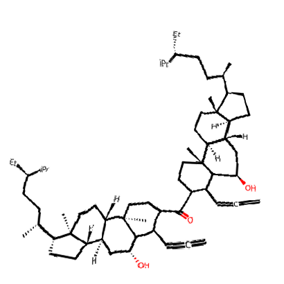 C=C=CC1C(C(=O)C2CC[C@@]3(C)C(C2C=C=C)[C@H](O)C[C@H]2[C@@H]4CC[C@H]([C@H](C)CC[C@@H](CC)C(C)C)[C@@]4(C)CC[C@@H]23)CC[C@@]2(C)C1[C@H](O)C[C@H]1[C@@H]3CC[C@H]([C@H](C)CC[C@@H](CC)C(C)C)[C@@]3(C)CC[C@@H]12